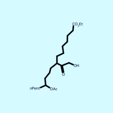 CCCCCC(CCCC(CCCCCCC(=O)OCC)C(=O)CO)OC(C)=O